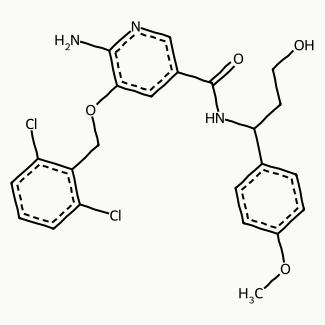 COc1ccc(C(CCO)NC(=O)c2cnc(N)c(OCc3c(Cl)cccc3Cl)c2)cc1